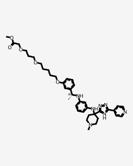 COC(=O)COCCCOCCCCCOc1cccc([C@@H](C)Nc2cccc(NC3(c4nnc(-c5ccncc5)[nH]4)CCN(C)CC3)c2)c1